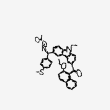 CCOc1ccc2ccccc2c1C(=O)c1ccc2c(c1)c1cc(/C(=N\OC(C)=O)c3ccc(SC)cc3)ccc1n2CC